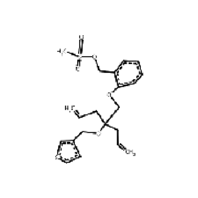 C=CCC(CC=C)(COc1ccccc1COS(C)(=O)=O)OCc1ccsc1